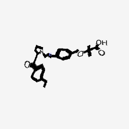 CCc1ccc(C(=O)c2cccn2C/C=C/c2ccc(COC(C)(C)C(=O)O)cc2)cc1